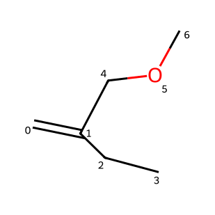 C=C(CC)COC